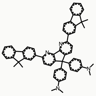 CN(C)c1ccc(C2(c3ccc(N(C)C)cc3)c3ccc(-c4ccc5c(c4)C(C)(C)c4ccccc4-5)nc3-c3nc(-c4ccc5c(c4)C(C)(C)c4ccccc4-5)ccc32)cc1